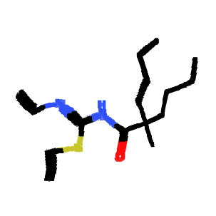 C=C/N=C(/NC(=O)C(C)(CCCC)CCCC)SC=C